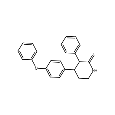 O=C1NCCC(c2ccc(Oc3ccccc3)cc2)C1c1ccccc1